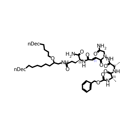 CCCCCCCCCCCCCCCCC(CNC(=O)CC[C@H](NC(=O)/C=C/C(=O)N(CC(N)=O)NC(=O)[C@H](C)NC(=O)[C@H](C)NC(=O)OCc1ccccc1)C(N)=O)OCCCCCCCCCCCCCC